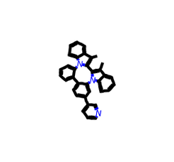 Cc1c2ccccc2n2c3ccccc3c3ccc(-c4cccnc4)cc3n3c4ccccc4c(C)c3c12